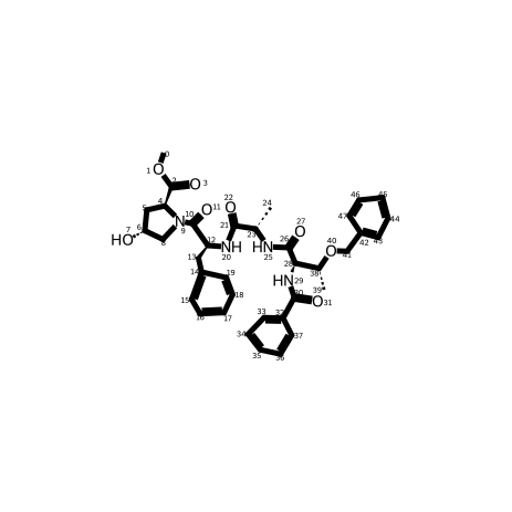 COC(=O)[C@@H]1C[C@@H](O)CN1C(=O)[C@H](Cc1ccccc1)NC(=O)[C@H](C)NC(=O)[C@@H](NC(=O)c1ccccc1)[C@@H](C)OCc1ccccc1